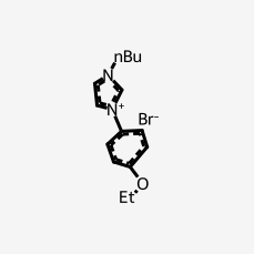 CCCCn1cc[n+](-c2ccc(OCC)cc2)c1.[Br-]